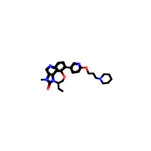 CCC1COc2c(-c3ccc(OCCCN4CCCCC4)nc3)ccc3ncc4c(c23)n1c(=O)n4C